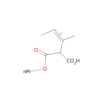 C/C=C(/C)C(C(=O)O)C(=O)OCCC